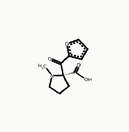 CN1CCC[C@]1(C(=O)O)C(=O)c1ccco1